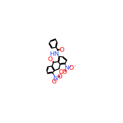 O=C(Nc1ccc([N+](=O)[O-])c2c1C(=O)c1cccc([N+](=O)[O-])c1C2=O)c1ccccc1